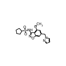 COc1cc(Cn2cccn2)cc2onc(NS(=O)(=O)C3CCCC3)c12